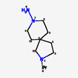 CC(C)N1CCC2(CCN(N)CC2)C1